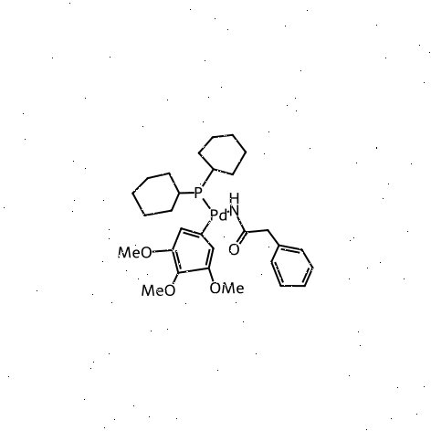 COc1c[c]([Pd]([NH]C(=O)Cc2ccccc2)[P](C2CCCCC2)C2CCCCC2)cc(OC)c1OC